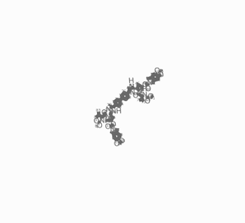 COC(=O)N[C@H](C(=O)N1C[C@H](OC(=O)N2Cc3cc4c(cc3C2)OCO4)CC1c1ncc(-c2ccc(-c3ccc(-c4c[nH]c([C@@H]5C[C@@H](OC(=O)N6Cc7cc8c(cc7C6)OCO8)CN5C(=O)[C@@H](NC(=O)OC)C(C)C)n4)cc3)cc2)[nH]1)C(C)C